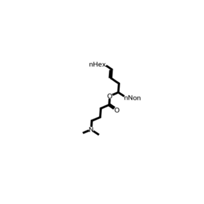 CCCCCC/C=C/CC(CCCCCCCCC)OC(=O)CCCN(C)C